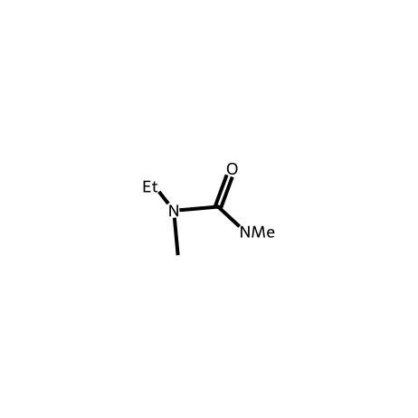 CCN(C)C(=O)NC